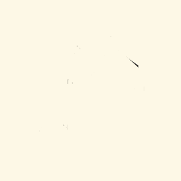 CC[C@@H]1C[C@]1(N)C(=O)NS(=O)(=O)N(C)C